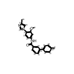 COc1cc(NC(=O)c2cccc(-c3ccc(F)cc3)c2)ccc1-n1cnc(C)c1